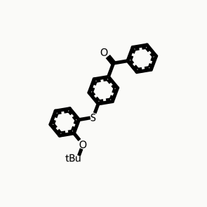 CC(C)(C)Oc1ccccc1Sc1ccc(C(=O)c2ccccc2)cc1